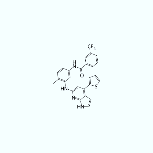 Cc1ccc(NC(=O)c2cccc(C(F)(F)F)c2)cc1Nc1cc(-c2cccs2)c2cc[nH]c2n1